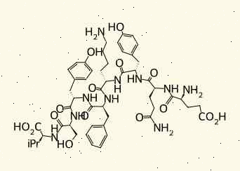 CC(C)[C@H](NC(=O)[C@H](CO)NC(=O)[C@H](Cc1ccc(O)cc1)NC(=O)[C@H](Cc1ccccc1)NC(=O)[C@H](CCCCN)NC(=O)[C@H](Cc1ccc(O)cc1)NC(=O)[C@H](CCC(N)=O)NC(=O)[C@@H](N)CCC(=O)O)C(=O)O